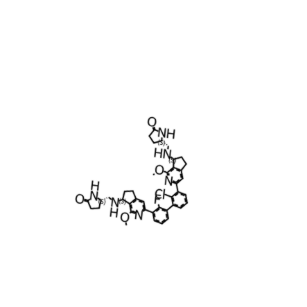 COc1nc(-c2cccc(-c3cccc(-c4cc5c(c(OC)n4)[C@@H](NC[C@@H]4CCC(=O)N4)CC5)c3Cl)c2F)cc2c1[C@@H](NC[C@@H]1CCC(=O)N1)CC2